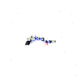 CCc1nc2sc(N3CC[C@@H](N(C)CC(=O)N4CC(C#N)C4)C3)nn2c1N(C)c1nc(-c2ccc(C)cc2)c(C#N)s1